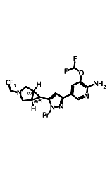 CC(C)n1nc(-c2cnc(N)c(OC(F)F)c2)cc1[C@H]1[C@@H]2CN(CC(F)(F)F)C[C@@H]21